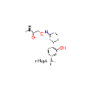 CBC(=O)CO/N=C1/CCCC(c2ccc(C(C)(C)CCCCCCC)cc2O)C1